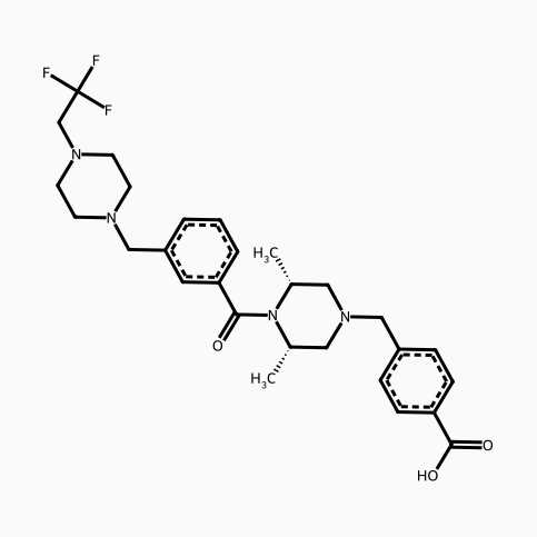 C[C@@H]1CN(Cc2ccc(C(=O)O)cc2)C[C@H](C)N1C(=O)c1cccc(CN2CCN(CC(F)(F)F)CC2)c1